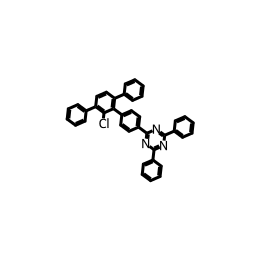 Clc1c(-c2ccccc2)ccc(-c2ccccc2)c1-c1ccc(-c2nc(-c3ccccc3)nc(-c3ccccc3)n2)cc1